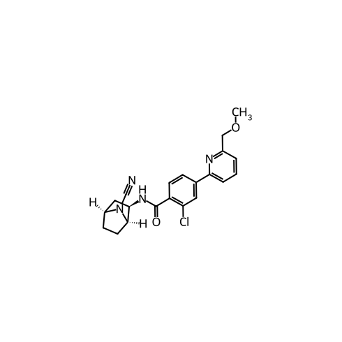 COCc1cccc(-c2ccc(C(=O)N[C@@H]3C[C@@H]4CC[C@H]3N4C#N)c(Cl)c2)n1